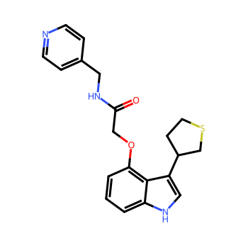 O=C(COc1cccc2[nH]cc(C3CCSC3)c12)NCc1ccncc1